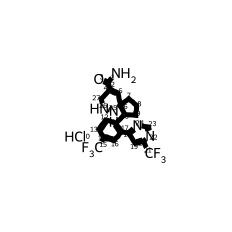 Cl.NC(=O)C1=CC2(CCCC2c2ccc(C(F)(F)F)cc2-c2cc(C(F)(F)F)ncn2)NNC1